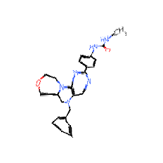 CNC(=O)Nc1ccc(-c2ncc3c(n2)N2CCOCC2CN3Cc2ccccc2)cc1